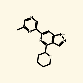 Cc1cncc(-c2cc3[nH]ncc3c(C3CCCCO3)n2)n1